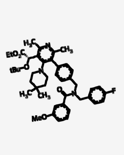 CCOC(=O)[C@@H](OC(C)(C)C)c1c(C)nc(C)c(-c2ccc(CN(Cc3ccc(F)cc3)C(=O)c3cccc(OC)c3)cc2)c1N1CCC(C)(C)CC1